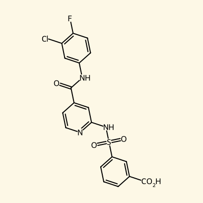 O=C(O)c1cccc(S(=O)(=O)Nc2cc(C(=O)Nc3ccc(F)c(Cl)c3)ccn2)c1